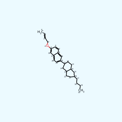 C/C=C/COc1ccc2cc(C3CCC4CC(CCCC)CCC4C3)ccc2c1